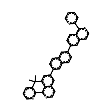 CC1(C)c2cccnc2-c2nccc3cc(-c4ccc5cc(-c6ccc7c(-c8ccccn8)nccc7c6)ccc5c4)cc1c23